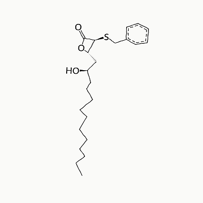 CCCCCCCCCCC[C@@H](O)C[C@@H]1OC(=O)[C@H]1SCc1ccccc1